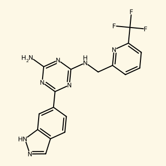 Nc1nc(NCc2cccc(C(F)(F)F)n2)nc(-c2ccc3cn[nH]c3c2)n1